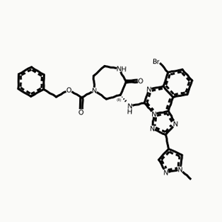 Cn1cc(-c2nc3c4cccc(Br)c4nc(N[C@@H]4CN(C(=O)OCc5ccccc5)CCNC4=O)n3n2)cn1